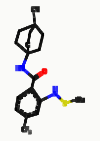 CC(C)(C)SNc1cc(C(F)(F)F)ccc1C(=O)NC12CCC(C#N)(CC1)CC2